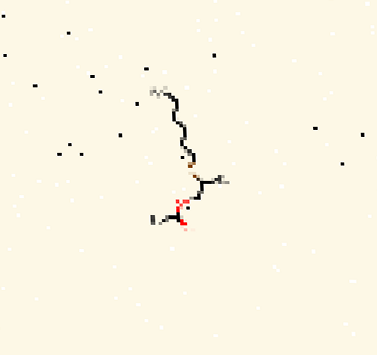 CCC(=O)OCC(CC)SCCCCCC(F)(F)F